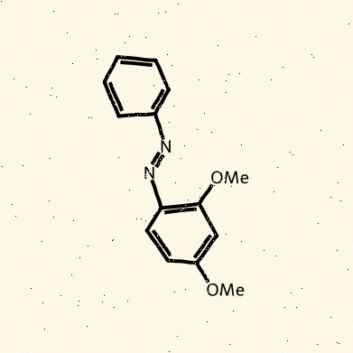 COc1ccc(N=Nc2ccccc2)c(OC)c1